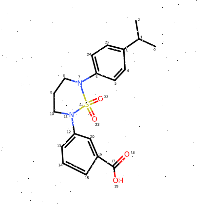 CC(C)c1ccc(N2CCCN(c3cccc(C(=O)O)c3)S2(=O)=O)cc1